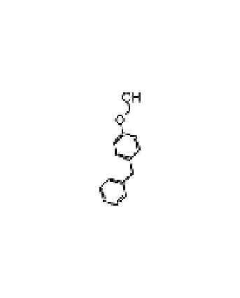 OCOc1ccc(Cc2ccccc2)cc1